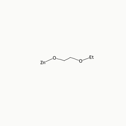 CCOCC[O][Zn]